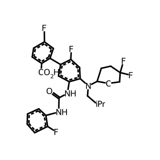 CC(C)CN(c1cc(F)c(-c2cc(F)ccc2C(=O)O)cc1NC(=O)Nc1ccccc1F)C1CCC(F)(F)CC1